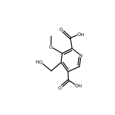 COc1c(C(=O)O)ncc(C(=O)O)c1CO